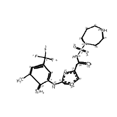 CC1C=C(C(F)(F)F)C=C(Nc2nc(C(=O)NS(=O)(=O)N3CCCNCC3)co2)C1C